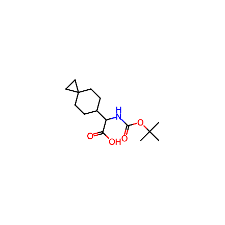 CC(C)(C)OC(=O)NC(C(=O)O)C1CCC2(CC1)CC2